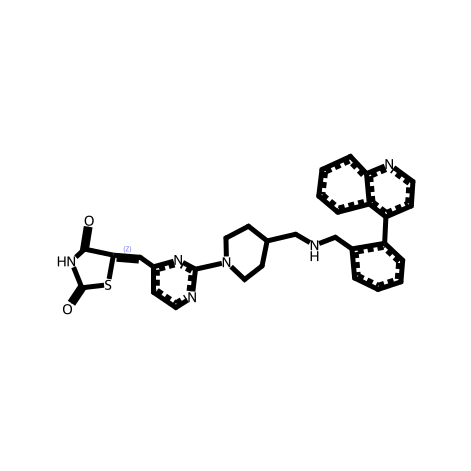 O=C1NC(=O)/C(=C/c2ccnc(N3CCC(CNCc4ccccc4-c4ccnc5ccccc45)CC3)n2)S1